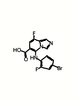 O=C(O)c1cc(F)c2cncn2c1Nc1ccc(Br)cc1F